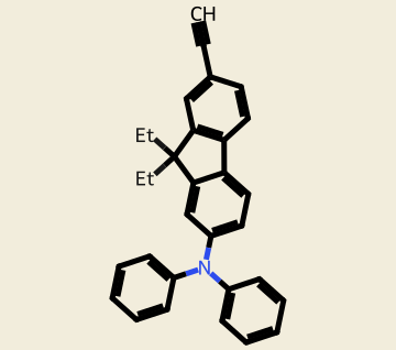 C#Cc1ccc2c(c1)C(CC)(CC)c1cc(N(c3ccccc3)c3ccccc3)ccc1-2